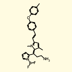 CC1=CC(/C=C/c2ccc(Oc3ccc(C)cc3)cc2)=[N+](C)C/1=C(/CCN)c1cccn1B(F)F